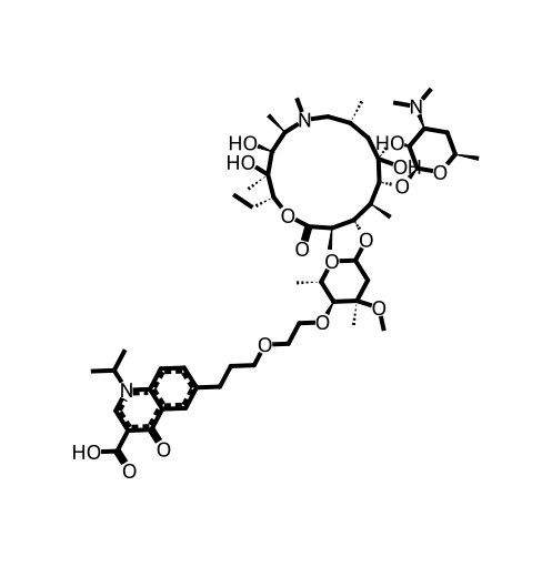 CC[C@H]1OC(=O)[C@H](C)[C@@H](OC2C[C@@](C)(OC)[C@@H](OCCOCCCc3ccc4c(c3)c(=O)c(C(=O)O)cn4C(C)C)[C@H](C)O2)[C@H](C)[C@@H](O[C@@H]2O[C@H](C)C[C@H](N(C)C)[C@H]2O)[C@](C)(O)C[C@@H](C)CN(C)[C@H](C)[C@H](O)[C@]1(C)O